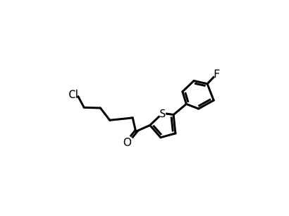 O=C(CCCCCl)c1ccc(-c2ccc(F)cc2)s1